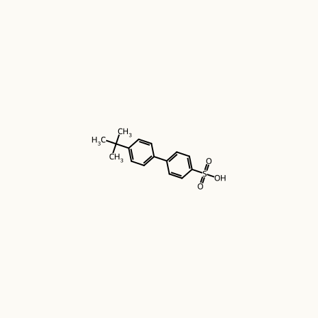 CC(C)(C)c1ccc(-c2ccc(S(=O)(=O)O)cc2)cc1